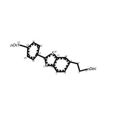 CCCCCCCCCCCCc1ccc2nc(-c3ccc(CCCCCCCC)cc3)sc2c1